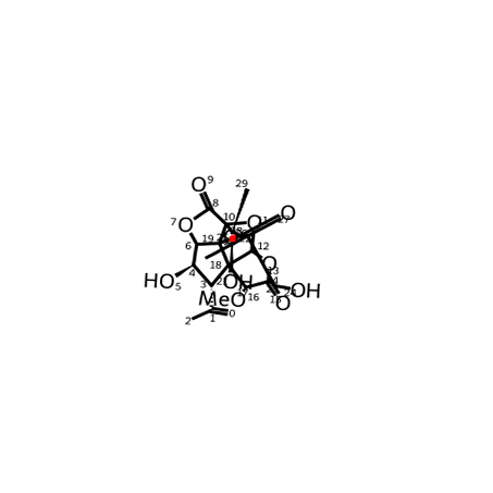 C=C(C)[C@@H]1[C@@H](O)C2OC(=O)C34OC5OC(=O)[C@H](OC)C51C23[C@@H](O)C(CO)OC(=O)[C@H]4C